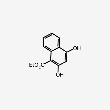 CCOC(=O)c1c(O)cc(O)c2ccccc12